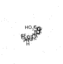 C[C@@H](COC(F)(F)F)NC(=O)OC1CCN(c2ccc3scc(C(=O)O)c3n2)CC1